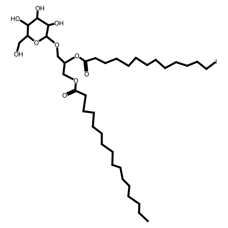 CCCCCCCCCCCCCCCC(=O)OCC(COC1OC(CO)C(O)C(O)C1O)OC(=O)CCCCCCCCCCCCI